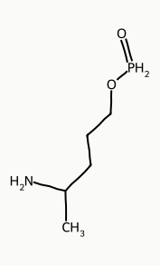 CC(N)CCCO[PH2]=O